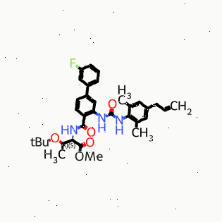 C=CCc1cc(C)c(NC(=O)Nc2cc(-c3cccc(F)c3)ccc2C(=O)N[C@H](C(=O)OC)[C@@H](C)OC(C)(C)C)c(C)c1